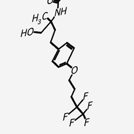 CC(CO)(CCc1ccc(OCCCC(F)(F)C(F)(F)F)cc1)NC(=O)O